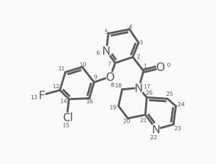 O=C(c1cccnc1Oc1ccc(F)c(Cl)c1)N1CCCc2ncccc21